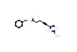 CC(C)(C)c1ncc(C#CCCC(=O)OCc2ccccc2)[nH]1